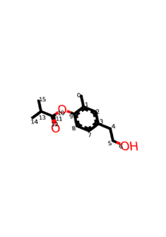 Cc1cc(CCO)ccc1OC(=O)C(C)C